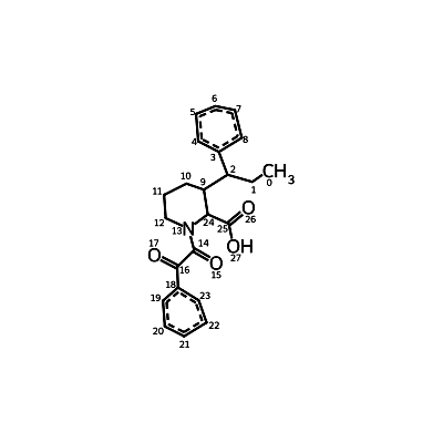 CCC(c1ccccc1)C1CCCN(C(=O)C(=O)c2ccccc2)C1C(=O)O